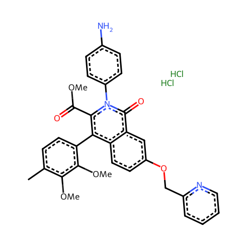 COC(=O)c1c(-c2ccc(C)c(OC)c2OC)c2ccc(OCc3ccccn3)cc2c(=O)n1-c1ccc(N)cc1.Cl.Cl